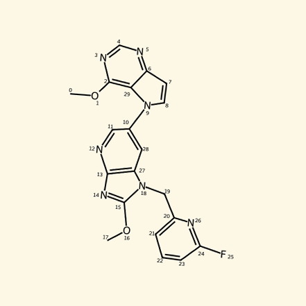 COc1ncnc2ccn(-c3cnc4nc(OC)n(Cc5cccc(F)n5)c4c3)c12